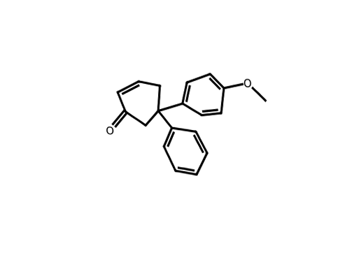 COc1ccc(C2(c3ccccc3)CC=CC(=O)C2)cc1